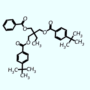 CCC(COC(=O)c1ccccc1)(COC(=O)c1ccc(C(C)(C)C)cc1)COC(=O)c1ccc(C(C)(C)C)cc1